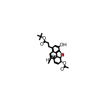 CC(=O)O[C@H]1C=CC2[C@H]3Cc4c(CCC(=O)OC(C)(C)C)cc(O)c5c4[C@@]2(CCN3C)[C@H]1O5